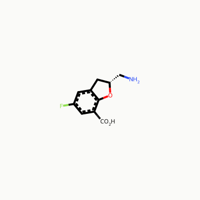 NC[C@H]1Cc2cc(F)cc(C(=O)O)c2O1